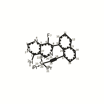 [2H]c1ncnc2c(F)c(-c3cccc4cccc(C#C[Si](C(C)C)(C(C)C)C(C)C)c34)ncc12